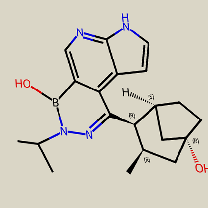 CC(C)N1N=C([C@H]2[C@H]3CC[C@](O)(C3)C[C@H]2C)c2c(cnc3[nH]ccc23)B1O